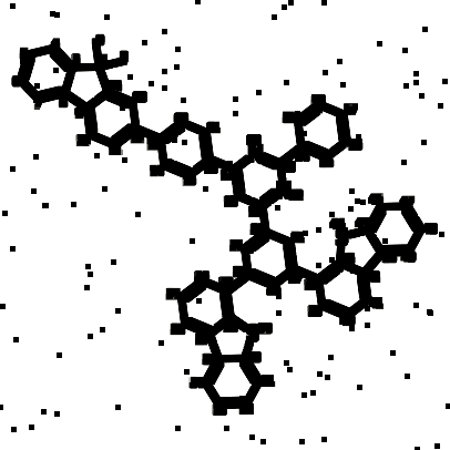 CC1(C)c2ccccc2-c2ccc(-c3ccc(-c4cc(-c5cc(-c6cccc7c6sc6ccccc67)cc(-c6cccc7c6sc6ccccc67)c5)nc(-c5ccccc5)n4)cc3)cc21